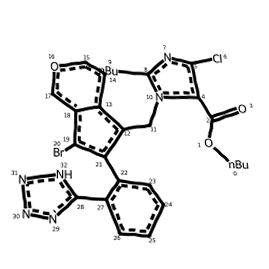 CCCCOC(=O)c1c(Cl)nc(CCCC)n1Cc1c2ccocc-2c(Br)c1-c1ccccc1-c1nnn[nH]1